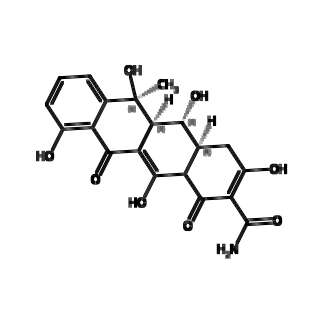 C[C@@]1(O)c2cccc(O)c2C(=O)C2=C(O)C3C(=O)C(C(N)=O)=C(O)C[C@@H]3[C@@H](O)[C@@H]21